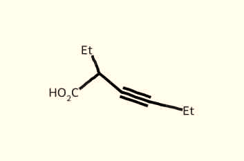 CCC#CC(CC)C(=O)O